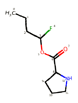 CCCC(F)OC(=O)C1CCCN1